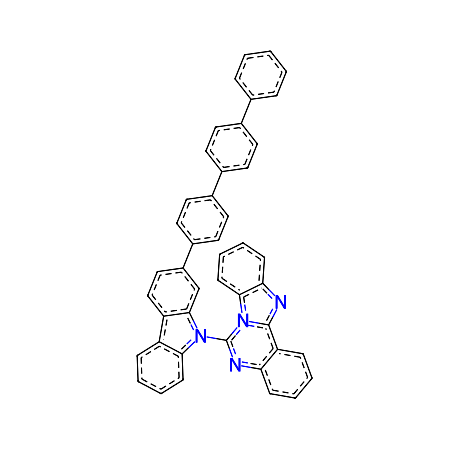 c1ccc(-c2ccc(-c3ccc(-c4ccc5c6ccccc6n(-c6nc7ccccc7c7nc8ccccc8n67)c5c4)cc3)cc2)cc1